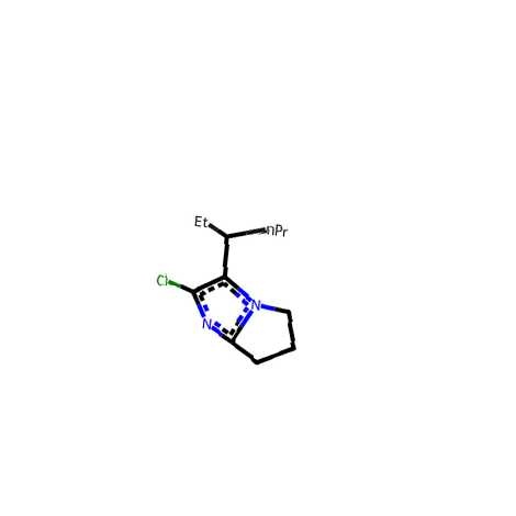 CCCC(CC)c1c(Cl)nc2n1CCC2